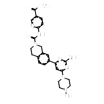 COC(=O)c1ccc(NC(=O)N2CCc3ccc(-c4cc(N5CCN(C)CC5)nc(N)n4)cc3C2)nc1